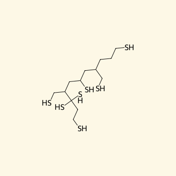 SCCCC(CS)CC(S)CC(CS)C(S)(S)CCS